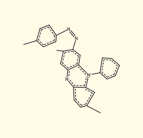 Cc1ccc(/N=N\c2cc3c(cc2C)nc2ccc(C)cc2[n+]3-c2ccccc2)cc1